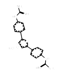 Cl.Cl.N=C(N)Nc1ccc(-c2ccc(-c3ccc(NC(=N)N)cc3)o2)cc1